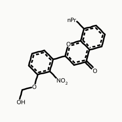 CCCc1cccc2c(=O)cc(-c3cccc(OCO)c3[N+](=O)[O-])oc12